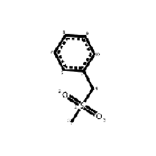 [CH2]S(=O)(=O)Cc1ccccc1